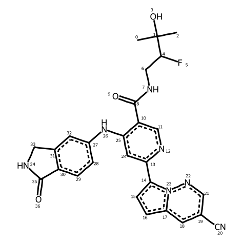 CC(C)(O)C(F)CNC(=O)c1cnc(-c2ccc3cc(C#N)cnn23)cc1Nc1ccc2c(c1)CNC2=O